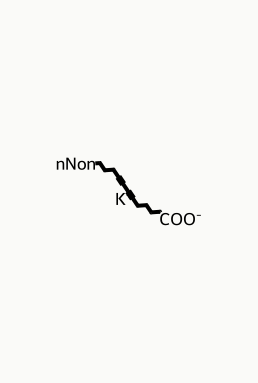 CCCCCCCCCCCCC#CC#CCCCCC(=O)[O-].[K+]